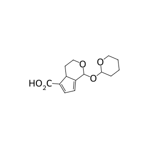 O=C(O)C1=CC=C2C(OC3CCCCO3)OCCC12